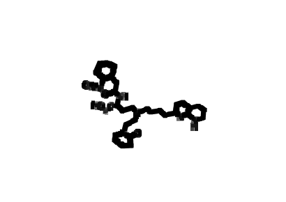 COc1ccccc1CC(=O)N[C@@H](CCN(CCCCc1ccc2c(n1)NCCC2)CCn1ccccc1=O)C(=O)O